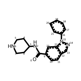 O=C(NC1CCNCC1)c1ccc2cnn(-c3ccccc3)c2c1